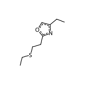 CCSCCc1nc(CC)co1